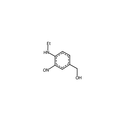 CCNc1ccc(CO)cc1N=O